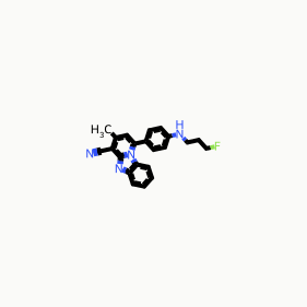 Cc1cc(-c2ccc(NCCCF)cc2)n2c(nc3ccccc32)c1C#N